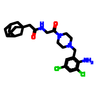 Nc1c(Cl)cc(Cl)cc1CN1CCN(C(=O)CNC(=O)CC23CC4CC(C2)C(C4)C3)CC1